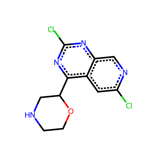 Clc1cc2c(C3CNCCO3)nc(Cl)nc2cn1